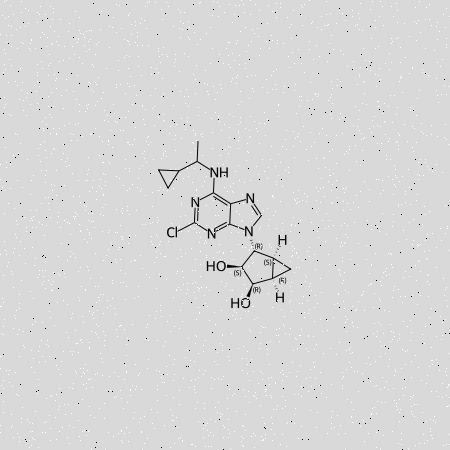 CC(Nc1nc(Cl)nc2c1ncn2[C@H]1[C@H](O)[C@H](O)[C@@H]2C[C@@H]21)C1CC1